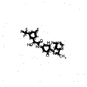 Cc1nn(-c2ccc(NC(=O)C(O)c3cc(F)cc(C(F)(F)F)c3)cc2Cl)c2c(N)ncnc12